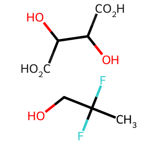 CC(F)(F)CO.O=C(O)C(O)C(O)C(=O)O